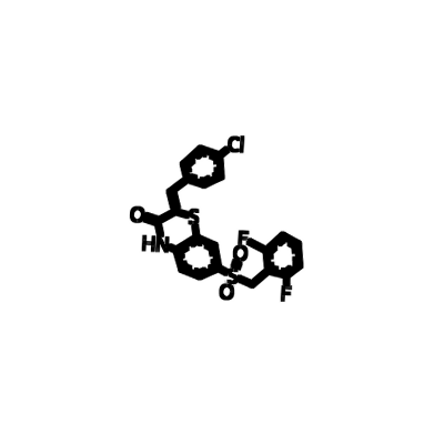 O=C1Nc2ccc(S(=O)(=O)Cc3c(F)cccc3F)cc2SC1=Cc1ccc(Cl)cc1